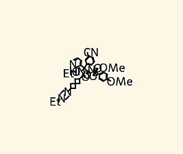 CCOc1ncccc1C1(NC(=O)C2CC3(C2)CC(N2CCN(CC)CC2)C3)C(=O)N(S(=O)(=O)c2ccc(OC)cc2OC)c2ccc(C#N)cc21